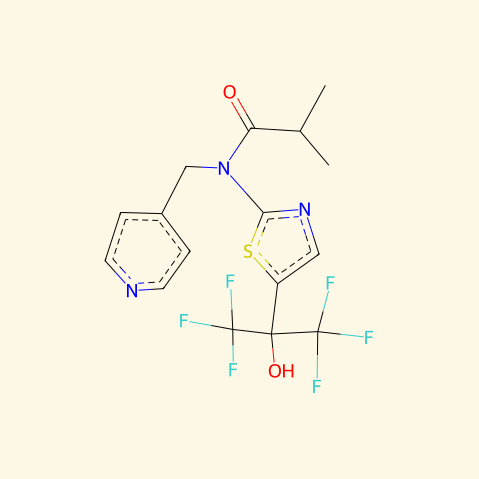 CC(C)C(=O)N(Cc1ccncc1)c1ncc(C(O)(C(F)(F)F)C(F)(F)F)s1